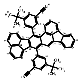 CC(C)(C)c1cc(C#N)cc(-c2c3cc4c5ccccc5c5cccc(c3c(-c3cc(C#N)cc(C(C)(C)C)c3)c3c6cccc7cccc(c23)c76)c54)c1